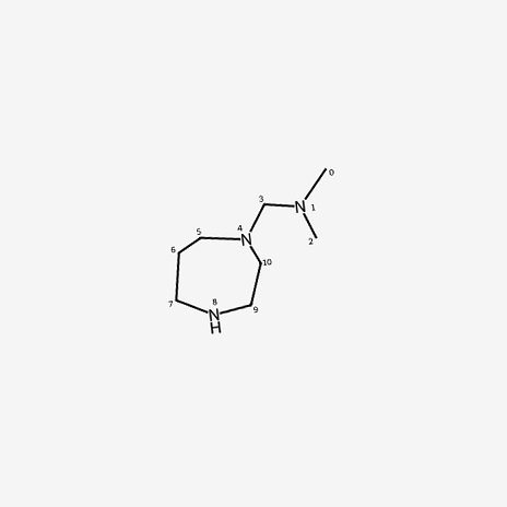 CN(C)CN1CCCNCC1